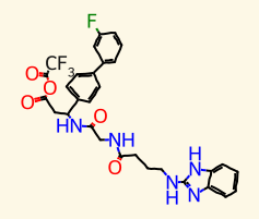 O=C(CCCNc1nc2ccccc2[nH]1)NCC(=O)NC(CC(=O)OC(=O)C(F)(F)F)c1ccc(-c2cccc(F)c2)cc1